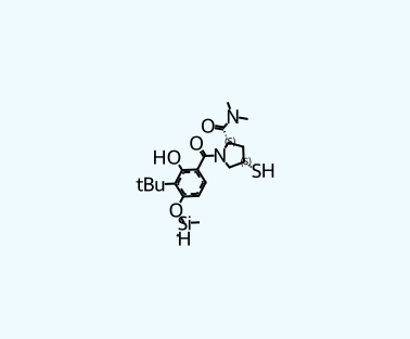 CN(C)C(=O)[C@@H]1C[C@H](S)CN1C(=O)c1ccc(O[SiH](C)C)c(C(C)(C)C)c1O